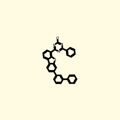 Clc1nc(-c2ccccc2)nc(-c2cccc3c2sc2cc(-c4cccc(-c5ccccc5)c4)ccc23)n1